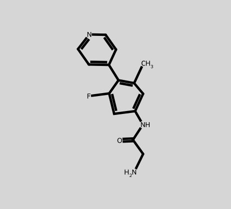 Cc1cc(NC(=O)CN)cc(F)c1-c1ccncc1